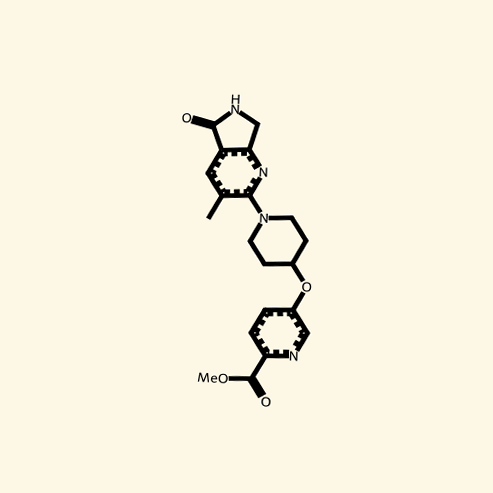 COC(=O)c1ccc(OC2CCN(c3nc4c(cc3C)C(=O)NC4)CC2)cn1